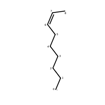 [CH2]CCCCC/C=C\C